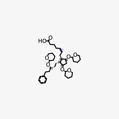 O=C(O)CCC/C=C\C[C@@H]1[C@@H](CC[C@H](CCc2ccccc2)OC2CCCCO2)[C@H](OC2CCCCO2)C[C@@H]1OC1CCCCO1